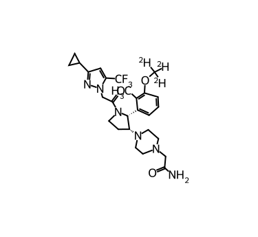 [2H]C([2H])([2H])Oc1cccc([C@@H]2[C@H](N3CCN(CC(N)=O)CC3)CCN2C(=O)Cn2nc(C3CC3)cc2C(F)(F)F)c1C